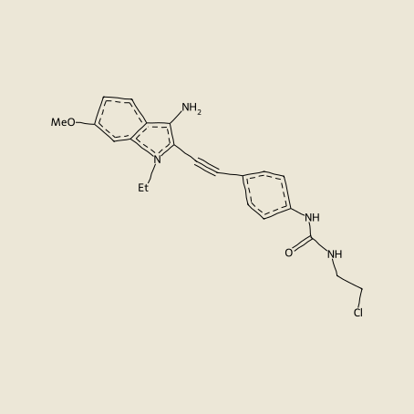 CCn1c(C#Cc2ccc(NC(=O)NCCCl)cc2)c(N)c2ccc(OC)cc21